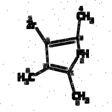 Cc1[pH]c(C)[c]([Zr])c1C